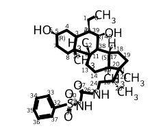 CC[C@@H]1C2C[C@H](O)CCC2(C)[C@@]2(C)CC[C@@]3(C)[C@@H](CC[C@]3(C)[C@H](C)CNC(=O)NS(=O)(=O)c3ccccc3)C2[C@@H]1O